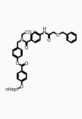 CCCCCCCOc1ccc(C(=O)Oc2ccc(CN(CC(=O)O)C(=O)c3ccc(NC(=O)COCc4ccccc4)cc3)cc2)cc1